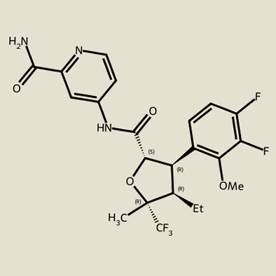 CC[C@@H]1[C@H](c2ccc(F)c(F)c2OC)[C@@H](C(=O)Nc2ccnc(C(N)=O)c2)O[C@@]1(C)C(F)(F)F